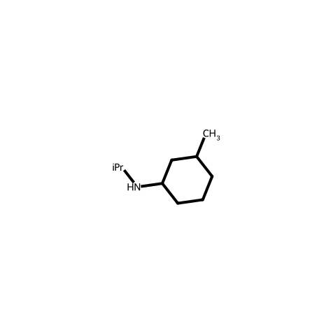 CC1CCCC(NC(C)C)C1